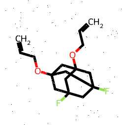 C=CCOC12CC3(F)CC(F)(C1)CC(OCC=C)(C3)C2